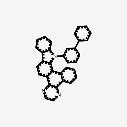 c1ccc(-c2cccc(-n3c4ccccc4c4ccc5c6nccnc6c6ccccc6c5c43)c2)cc1